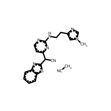 CC#N.Cn1cnc(CCNc2nccc(C(C#N)c3nc4ccccc4s3)n2)c1